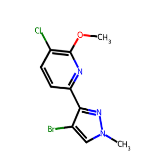 COc1nc(-c2nn(C)cc2Br)ccc1Cl